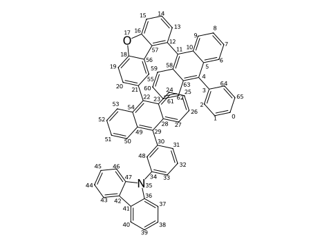 c1ccc(-c2c3ccccc3c(-c3cccc4oc5ccc(-c6c7ccccc7c(-c7cccc(-n8c9ccccc9c9ccccc98)c7)c7ccccc67)cc5c34)c3ccccc23)cc1